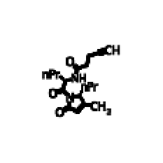 C#CCCC(=O)N[C@H](CCC)C(=O)N1C(=O)C=C(C)[C@@H]1CCC